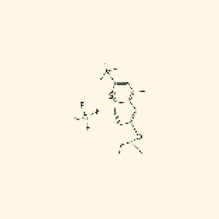 CCC(C)Oc1ccc2[s+]c(C(C)(C)C)cc(C)c2c1.F[B-](F)(F)F